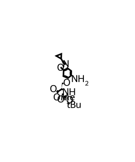 COC(=O)[C@H](COc1cc2oc(C3CC3)nc2cc1N)NC(=O)OC(C)(C)C